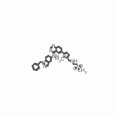 Cn1c(CNCCS(C)(=O)=O)ccc1-c1ccc2ncnc(Nc3ccc4c(cnn4Cc4ccccc4)c3)c2c1